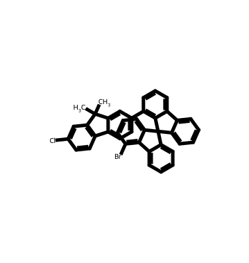 CC1(C)c2cc(Cl)ccc2-c2ccc(-c3cccc4c3C3(c5ccccc5-4)c4ccccc4-c4c(Br)cccc43)cc21